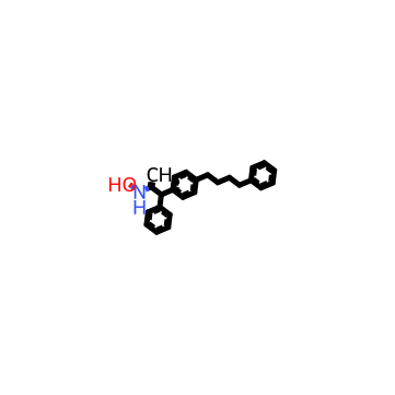 C=C(NO)C(c1ccccc1)c1ccc(CCCCc2ccccc2)cc1